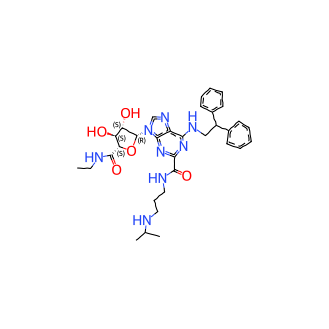 CCNC(=O)[C@H]1O[C@@H](n2cnc3c(NCC(c4ccccc4)c4ccccc4)nc(C(=O)NCCCNC(C)C)nc32)[C@@H](O)[C@@H]1O